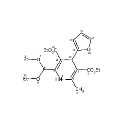 CCOC(=O)C1=C(C)NC(C(OCC)OCC)=C(C(=O)OCC)C1c1ccco1